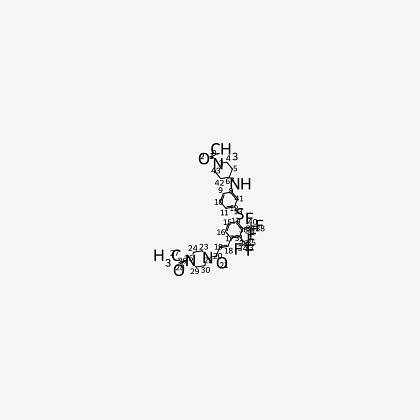 CC(=O)N1CCC(Nc2cccc(Sc3ccc(C=CC(=O)N4CCN(C(C)=O)CC4)c(C(F)(F)F)c3C(F)(F)F)c2)CC1